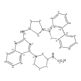 O=C(O)NC1CCCN(c2nc(NC3CCN(C(=O)Cc4ccccc4-c4ccccc4)C3)nc3ccccc23)C1